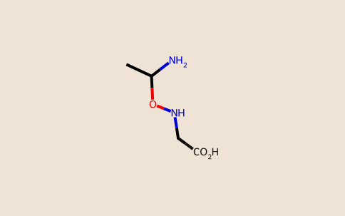 CC(N)ONCC(=O)O